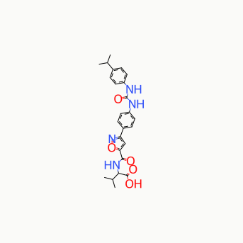 CC(C)c1ccc(NC(=O)Nc2ccc(-c3cc(C(=O)NC(C(=O)O)C(C)C)on3)cc2)cc1